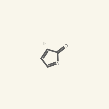 O=C1C=CC=N1.[Ir]